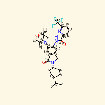 CC(C)[C@H]1CC[C@H](N2Cc3cc(NC(=O)c4cccc(C(F)(F)F)n4)c(N4C[C@@H]5C[C@H]4CO5)cc3C2=O)CC1